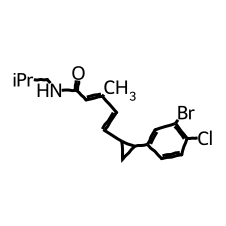 CC(C=CC1CC1c1ccc(Cl)c(Br)c1)=CC(=O)NCC(C)C